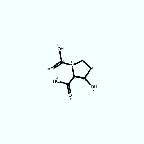 O=C(O)C1C(O)CCN1C(=O)O